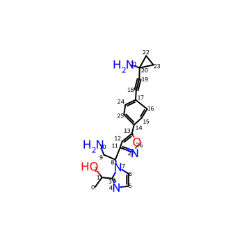 CC(O)c1nccn1C(CN)c1cc(-c2ccc(C#CC3(N)CC3)cc2)on1